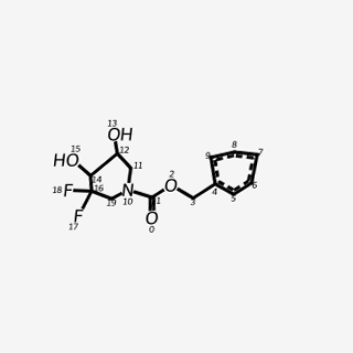 O=C(OCc1ccccc1)N1CC(O)C(O)C(F)(F)C1